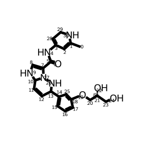 CC1=CC(NC(=O)C2=CNC3C=CC(c4cccc(OC[C@H](O)CO)c4)NN23)=CCN1